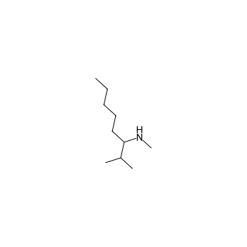 CCCCCC(NC)C(C)C